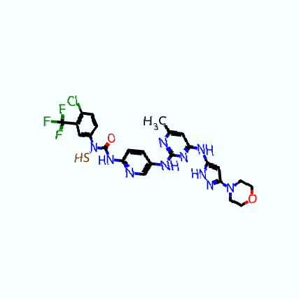 Cc1cc(Nc2cc(N3CCOCC3)n[nH]2)nc(Nc2ccc(NC(=O)N(S)c3ccc(Cl)c(C(F)(F)F)c3)nc2)n1